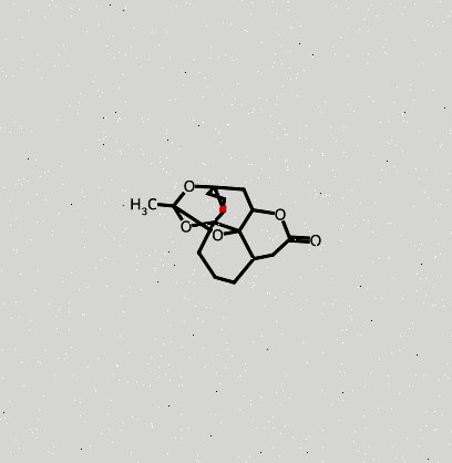 CC12OC34CCCC3C3(CCCC5CC(=O)OC(C4)C53O1)O2